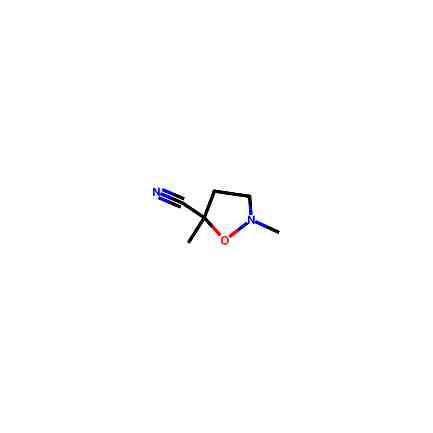 CN1CCC(C)(C#N)O1